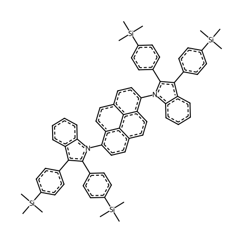 C[Si](C)(C)c1ccc(-c2c(-c3ccc([Si](C)(C)C)cc3)n(-c3ccc4ccc5c(-n6c(-c7ccc([Si](C)(C)C)cc7)c(-c7ccc([Si](C)(C)C)cc7)c7ccccc76)ccc6ccc3c4c65)c3ccccc23)cc1